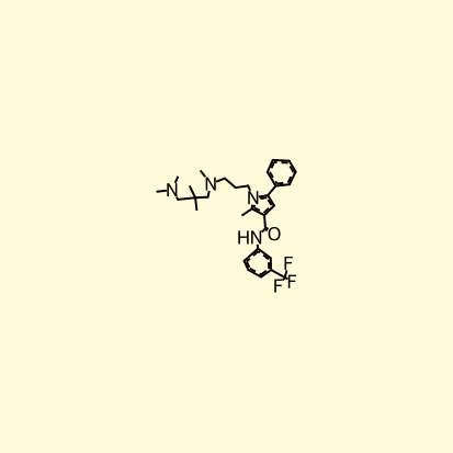 Cc1c(C(=O)Nc2cccc(C(F)(F)F)c2)cc(-c2ccccc2)n1CCCN(C)CC(C)(C)CN(C)C